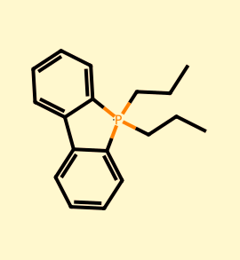 CCC[P]1(CCC)c2ccccc2-c2ccccc21